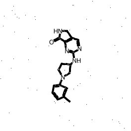 Cc1cccc(N2CCC(Nc3ncc4c(n3)C(=O)NC4)C2)c1